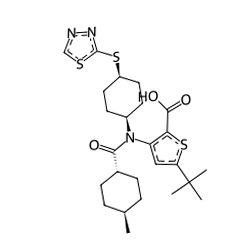 CC(C)(C)c1cc(N(C(=O)[C@H]2CC[C@H](C)CC2)[C@H]2CC[C@@H](Sc3nncs3)CC2)c(C(=O)O)s1